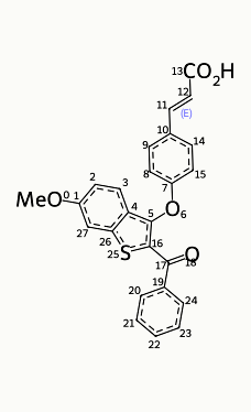 COc1ccc2c(Oc3ccc(/C=C/C(=O)O)cc3)c(C(=O)c3ccccc3)sc2c1